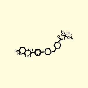 CC(C)(C)OC(=O)N1CCC(CN2CCN(c3ccc(C(=O)NC4CCC(=O)NC4=O)cc3)CC2)CC1